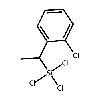 CC(c1ccccc1Cl)[Si](Cl)(Cl)Cl